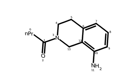 CCCC(=O)N1CCc2cccc(N)c2C1